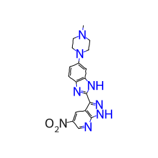 CN1CCN(c2ccc3nc(-c4n[nH]c5ncc([N+](=O)[O-])cc45)[nH]c3c2)CC1